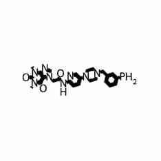 Cn1c(=O)c2c(ncn2CC(=O)Nc2ccc(N3CCN(Cc4cccc(P)c4)CC3)cn2)n(C)c1=O